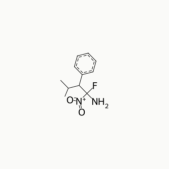 CC(C)C(c1ccccc1)C(N)(F)[N+](=O)[O-]